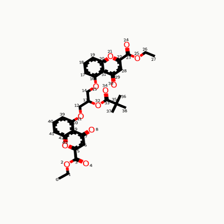 CCOC(=O)c1cc(=O)c2c(OCC(COc3cccc4oc(C(=O)OCC)cc(=O)c34)OC(=O)C(C)(C)C)cccc2o1